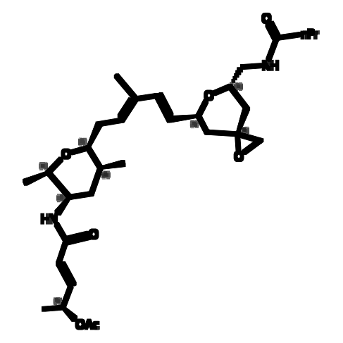 CCCC(=O)NC[C@@H]1C[C@]2(CO2)C[C@@H](C=CC(C)=CC[C@@H]2O[C@H](C)[C@H](NC(=O)C=C[C@H](C)OC(C)=O)C[C@@H]2C)O1